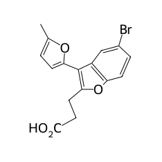 Cc1ccc(-c2c(CCC(=O)O)oc3ccc(Br)cc23)o1